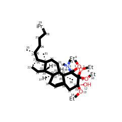 CCOC1(N(C)C)C(OCC)(OCC)[C@@](O)(OCC)CC2=CC[C@H]3[C@@H]4CC[C@H]([C@H](C)CCCC(C)C)[C@@]4(C)CC[C@@H]3[C@]21C